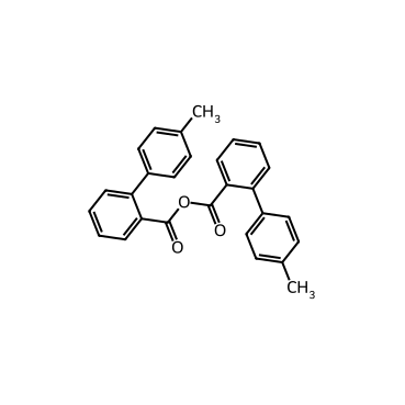 Cc1ccc(-c2ccccc2C(=O)OC(=O)c2ccccc2-c2ccc(C)cc2)cc1